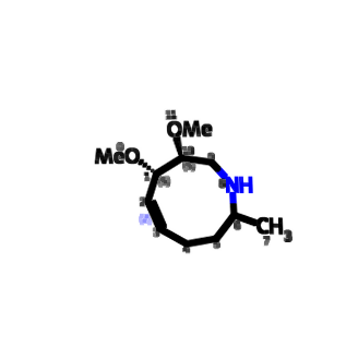 CO[C@H]1/C=C\CCC(C)NC[C@@H]1OC